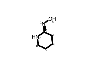 ON=C1CCCCN1